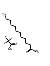 NCCCCCCCCCCC(N)=O.O=C(O)C(F)(F)F